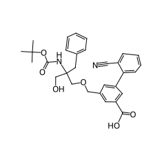 CC(C)(C)OC(=O)NC(CO)(COCc1cc(C(=O)O)cc(-c2ccccc2C#N)c1)Cc1ccccc1